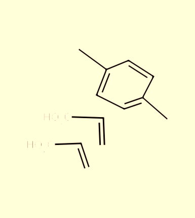 C=CC(=O)O.C=CC(=O)O.Cc1ccc(C)cc1